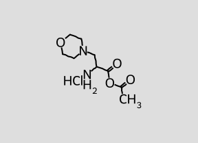 CC(=O)OC(=O)C(N)CN1CCOCC1.Cl